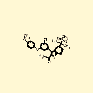 CC(C)(c1ccc2sc(C(N)=O)c(-c3cc(Cl)cc(Oc4ccc(OC(F)(F)F)cc4)c3)c2c1)S(C)(=O)=O